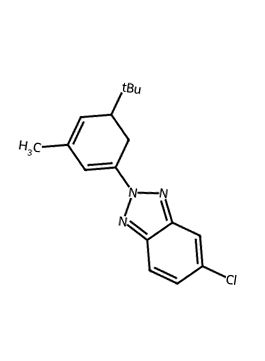 CC1=CC(C(C)(C)C)CC(n2nc3ccc(Cl)cc3n2)=C1